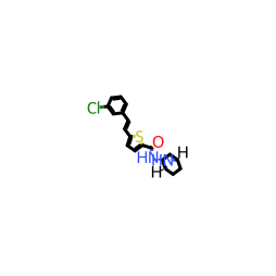 O=C(N[C@@H]1C[C@H]2CC[C@@H]1N2)c1ccc(C=Cc2cccc(Cl)c2)s1